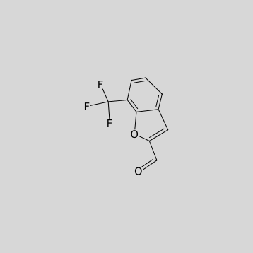 O=Cc1cc2cccc(C(F)(F)F)c2o1